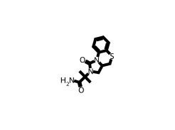 CC(C)(C(N)=O)N1CC2CSc3ccccc3N2C1=O